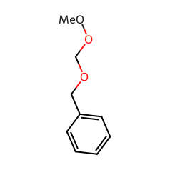 COOCOCc1ccccc1